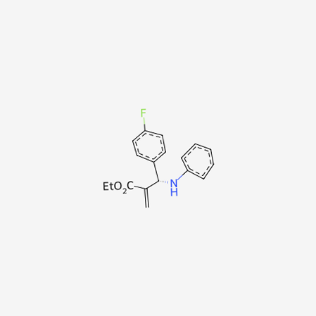 C=C(C(=O)OCC)[C@@H](Nc1ccccc1)c1ccc(F)cc1